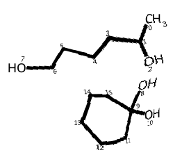 CC(O)CCCCO.OC1(O)CCCCC1